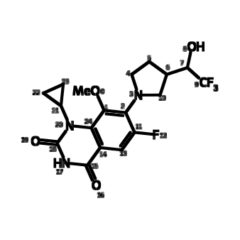 COc1c(N2CCC(C(O)C(F)(F)F)C2)c(F)cc2c(=O)[nH]c(=O)n(C3CC3)c12